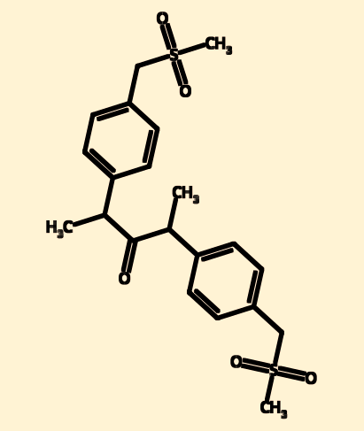 CC(C(=O)C(C)c1ccc(CS(C)(=O)=O)cc1)c1ccc(CS(C)(=O)=O)cc1